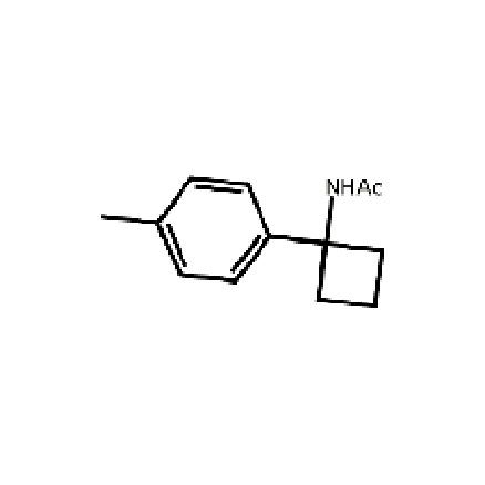 CC(=O)NC1(c2ccc(C)cc2)CCC1